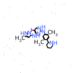 Cc1cc(Nc2nc(Nc3cc(C)c(C4CCCCN4)cc3C)ncc2I)n[nH]1